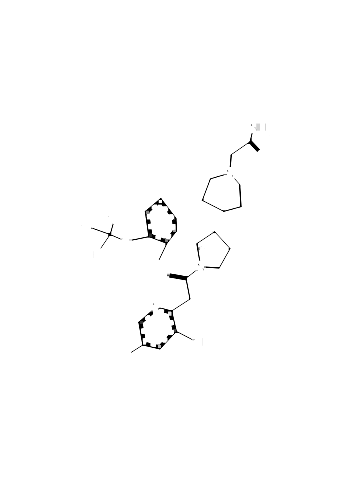 [2H]C([2H])([2H])Oc1cccc([C@@H]2[C@H](C3CCN(CC(N)=O)CC3)CCN2C(=O)Cc2ncc(C(F)(F)F)cc2C(F)(F)F)c1C